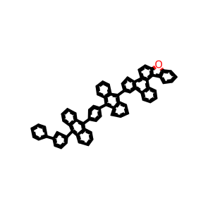 c1ccc(-c2cccc(-c3c4ccccc4c(-c4ccc(-c5c6ccccc6c(-c6ccc7c(c6)c6ccccc6c6c7ccc7oc8ccccc8c76)c6ccccc56)cc4)c4ccccc34)c2)cc1